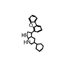 c1ccc2c(c1)oc1c(C3CNC4NCC(C5CCCCC5)CC43)cccc12